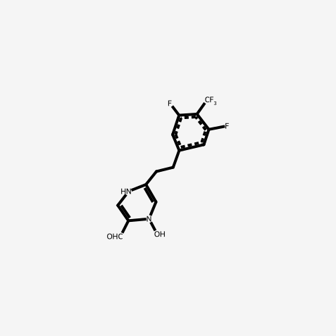 O=CC1=CNC(CCc2cc(F)c(C(F)(F)F)c(F)c2)=CN1O